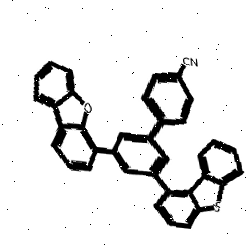 N#Cc1ccc(-c2cc(-c3cccc4c3oc3ccccc34)cc(-c3cccc4sc5ccccc5c34)c2)cc1